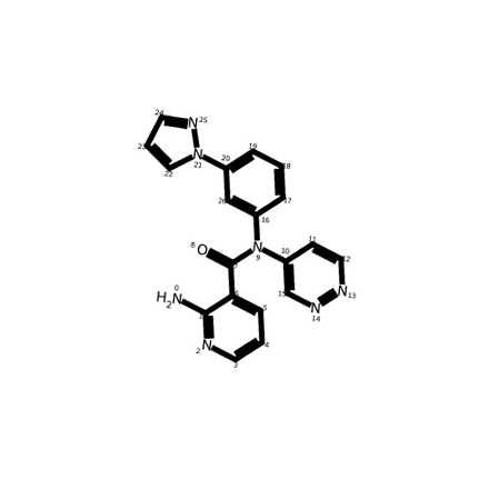 Nc1ncccc1C(=O)N(c1ccnnc1)c1cccc(-n2cccn2)c1